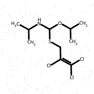 CC(C)N[C](OC(C)C)SCC(Cl)=C(Cl)Cl